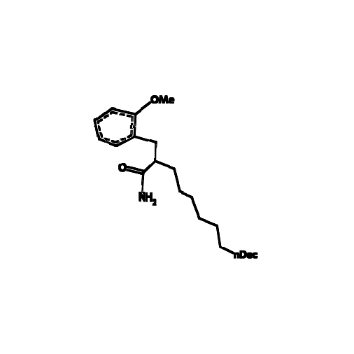 CCCCCCCCCCCCCCCCC(Cc1ccccc1OC)C(N)=O